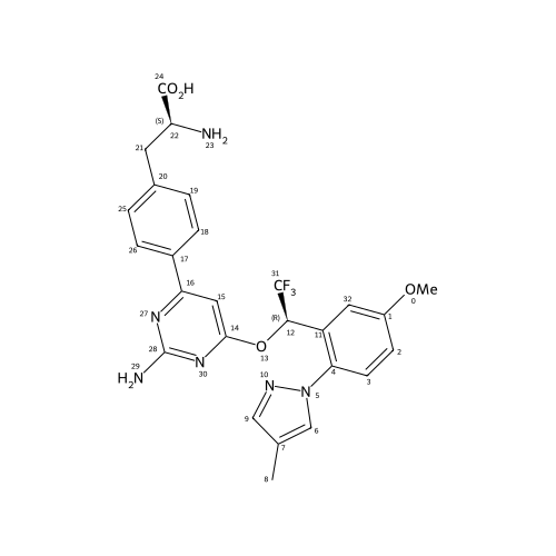 COc1ccc(-n2cc(C)cn2)c([C@@H](Oc2cc(-c3ccc(C[C@H](N)C(=O)O)cc3)nc(N)n2)C(F)(F)F)c1